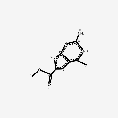 COC(=O)c1cc2c(C)nc(N)nc2s1